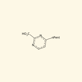 CCCCCc1ccnc(C(=O)O)n1